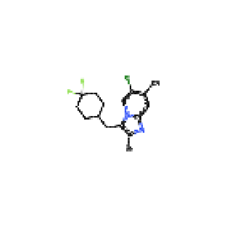 CC(C)c1nc2cc(C#N)c(Cl)cn2c1CC1CCC(F)(F)CC1